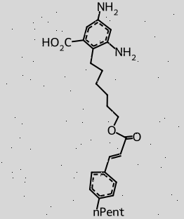 CCCCCc1ccc(C=CC(=O)OCCCCCCc2c(N)cc(N)cc2C(=O)O)cc1